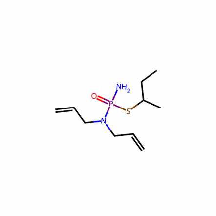 C=CCN(CC=C)P(N)(=O)SC(C)CC